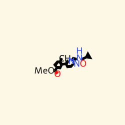 COC(=O)c1ccc(C)c(-c2ccc3nc(NC(=O)C4CC4)cn3c2)c1